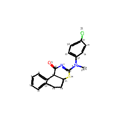 CCN(C1=NC(=O)C2c3ccccc3CCC2S1)c1ccc(Cl)cc1